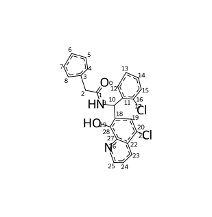 O=C(Cc1ccccc1)NC(c1ccccc1Cl)c1cc(Cl)c2cccnc2c1O